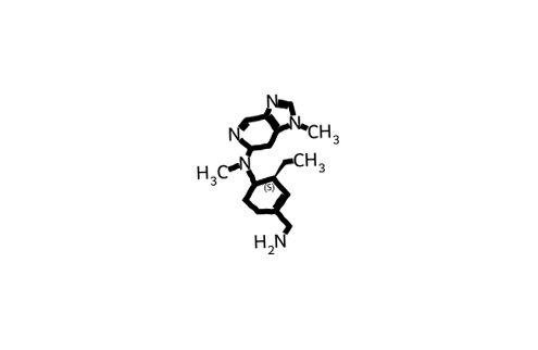 CC[C@H]1C=C(CN)CCC1N(C)C1Cc2c(ncn2C)C=N1